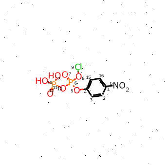 O=[N+]([O-])c1ccc(OP(=O)(OCl)OP(=O)(O)O)cc1